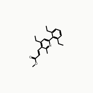 CCc1cc(-c2c(CC)cccc2CC)nc(C)c1C=CC(=O)OC